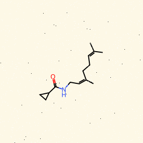 CC(C)=CCC/C(C)=C\CNC(=O)C1CC1